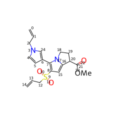 C=CCn1ccc(-c2c(S(=O)(=O)CC=C)cc3n2CCC3C(=O)OC)c1